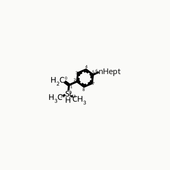 C=C(c1ccc(CCCCCCC)cc1)[SiH](C)C